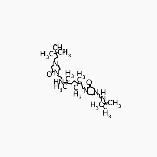 CC(C)(C)CCN1CCN(CCNC(C)(C)CCC(C)(C)CCN2CCN(CCNC(C)(C)C)CC2=O)C(=O)C1